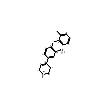 Cc1ccccc1Sc1ccc(C2=CCNCC2)cc1C(F)(F)F